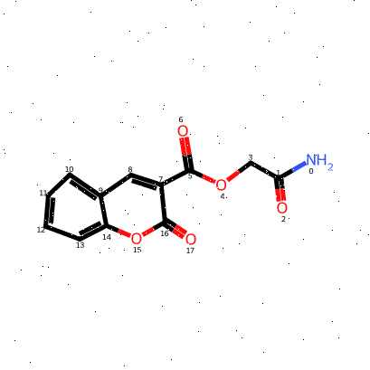 NC(=O)COC(=O)c1cc2ccccc2oc1=O